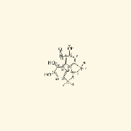 CC1(C)CC2(CC(C)(C)c3cc(O)c(N=O)cc32)c2cc(O)c(O)cc21